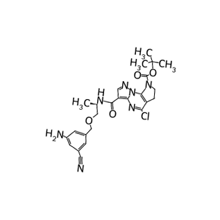 C[C@H](COCc1cc(N)cc(C#N)c1)NC(=O)c1cnn2c3c(c(Cl)nc12)CCN3C(=O)OC(C)(C)C